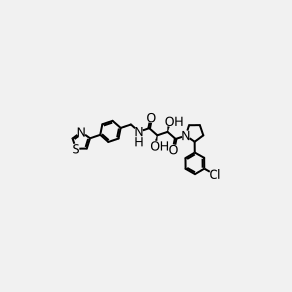 O=C(NCc1ccc(-c2cscn2)cc1)[C@H](O)[C@@H](O)C(=O)N1CCCC1c1cccc(Cl)c1